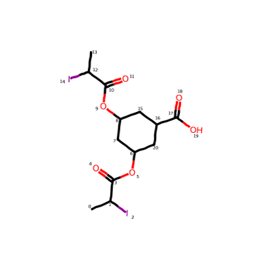 CC(I)C(=O)OC1CC(OC(=O)C(C)I)CC(C(=O)O)C1